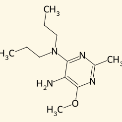 CCCN(CCC)c1nc(C)nc(OC)c1N